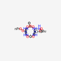 CCCOCCOCCN1CCNC(=O)c2cccc(c2C)C(=O)NCCN(C=O)CC(CCCCNC(=O)OC(C)(C)C)NC(=O)c2cccc(c2OCc2ccccc2)C(=O)NCC1